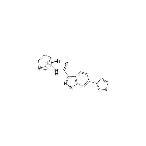 O=C(N[C@@H]1CN2CCC1CC2)c1nsc2cc(-c3ccsc3)ccc12